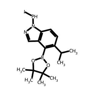 CC(C)c1ccc2c(cnn2PI)c1B1OC(C)(C)C(C)(C)O1